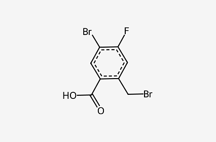 O=C(O)c1cc(Br)c(F)cc1CBr